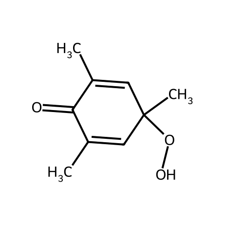 CC1=CC(C)(OO)C=C(C)C1=O